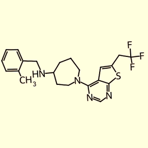 Cc1ccccc1CNC1CCCN(c2ncnc3sc(CC(F)(F)F)cc23)CC1